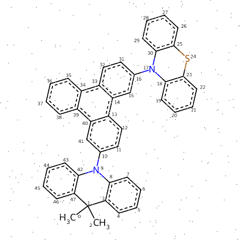 CC1(C)c2ccccc2N(c2ccc3c4cc(N5c6ccccc6Sc6ccccc65)ccc4c4ccccc4c3c2)c2ccccc21